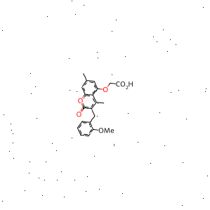 COc1ccccc1Cc1c(C)c2c(OCC(=O)O)cc(C)cc2oc1=O